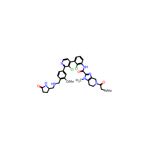 CNCC(=O)N1CCc2c(nc(C(=O)Nc3cccc(-c4ccnc(-c5ccc(CNCC6CCC(=O)N6)c(OC)c5)c4Cl)c3Cl)n2C)C1